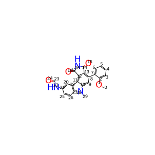 COc1ccccc1-c1cc2c(c3c1C(=O)NC3=O)c1cc(NC=O)ccc1n2C